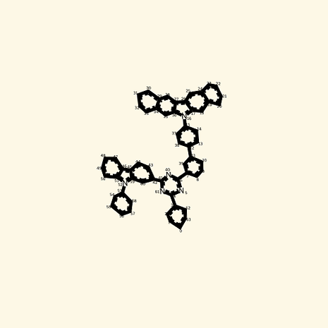 c1ccc(-c2nc(-c3cccc(-c4ccc(-n5c6cc7ccccc7cc6c6cc7ccccc7cc65)cc4)c3)nc(-c3ccc4c5ccccc5n(-c5ccccc5)c4c3)n2)cc1